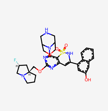 O=S1(=O)NC(c2cc(O)cc3ccccc23)=Cc2nc(OC[C@@]34CCCN3C[C@H](F)C4)nc(N3C4CNCC3COC4)c21